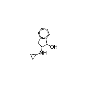 OC1c2ccccc2CC1NC1CC1